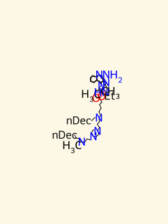 CCCCCCCCCCCCN(C)CCCN1CCN(CCCN(CCCCCCCCCCCC)CCCCCC(=O)OC(C)(C)Cn2c(CNCC)nc3c(N)nc4ccccc4c32)CC1